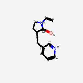 C=CN1CCC(Cc2cccnc2)C1=O